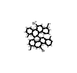 Cc1cccc2c1cc(-c1cc3c(C)cccc3c3c(Br)cc4c(C)cccc4c13)c1c3cccc(C)c3cc(Br)c21